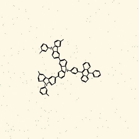 Cc1cccc(-n2c3ccc(C)cc3c3cc(-c4ccc5c(c4)c4cc(-c6ccc7c(c6)c6cc(C)ccc6n7-c6cccc(C)c6)ccc4n5-c4ccc(-c5c6ccccc6c(-c6ccccc6)c6ccccc56)cc4)ccc32)c1